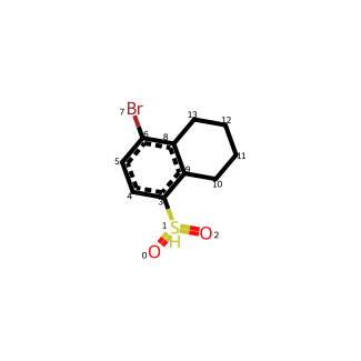 O=[SH](=O)c1ccc(Br)c2c1CCCC2